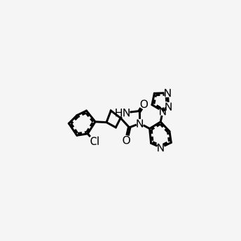 O=C1NC2(CC(c3ccccc3Cl)C2)C(=O)N1c1cnccc1-n1ccnn1